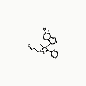 Bc1ccc2c(-c3c(-c4ccccn4)nn(CCC=O)c3C)ccnc2c1